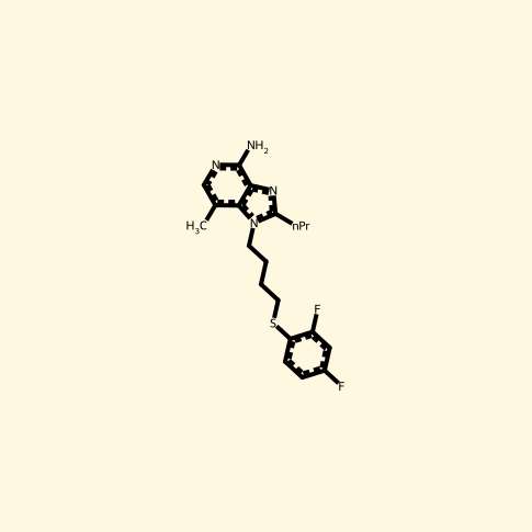 CCCc1nc2c(N)ncc(C)c2n1CCCCSc1ccc(F)cc1F